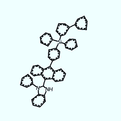 c1ccc(-c2cccc([Si](c3ccccc3)(c3ccccc3)c3ccc(-c4c5ccccc5c(C5Nc6ccccc6N5c5ccccc5)c5ccccc45)cc3)c2)cc1